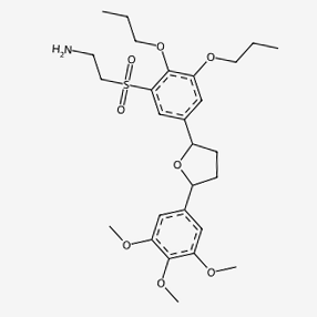 CCCOc1cc(C2CCC(c3cc(OC)c(OC)c(OC)c3)O2)cc(S(=O)(=O)CCN)c1OCCC